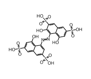 O=S(=O)(O)c1cc(O)c2c(N=Nc3c(O)c(S(=O)(=O)O)cc4cc(S(=O)(=O)O)cc(O)c34)cc(S(=O)(=O)O)cc2c1